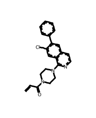 C=CC(=O)N1CCN(c2nccc3cc(-c4ccccc4)c(Cl)cc23)CC1